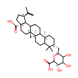 C=C(C)[C@@H]1CC[C@]2(C(=O)O)CC[C@]3(C)C(CCC4[C@@]5(C)CC[C@H](C[C@@H]6OC(C(=O)O)[C@@H](O)C(O)C6O)C(C)(C)C5CC[C@]43C)C12